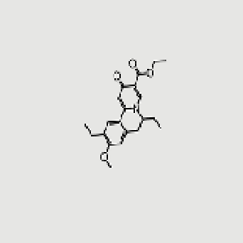 CCOC(=O)c1cn2c(cc1=O)-c1cc(CC)c(OC)cc1CC2CC